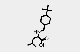 CC(C)CC(NCC1CCC(C(C)(C)C)CC1)C(=O)O